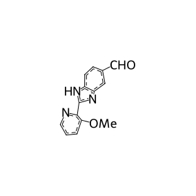 COc1cccnc1-c1nc2cc(C=O)ccc2[nH]1